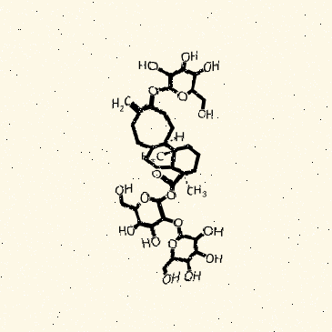 C=C1CCC2CCC3[C@](C)(C(=O)OC4OC(CO)C(O)C(O)C4OC4OC(CO)C(O)C(O)C4O)CCC[C@@]3(C)[C@@H]2CCC1OC1OC(CO)C(O)C(O)C1O